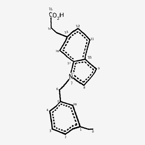 Cc1cccc(Cn2ccc3ccc(CC(=O)O)cc32)c1